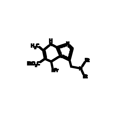 CCCC1C(C(=O)OCC)=C(C)Nc2ncc(CN(CC)CC)n21